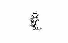 O=C(O)NCC1=Cc2ccccc2S1(=O)=O